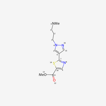 CNCCCn1cc(-c2ncc(C(=O)OC)s2)cn1